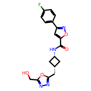 O=C(N[C@H]1C[C@@H](Cc2nnc(CO)o2)C1)c1cc(-c2ccc(F)cc2)no1